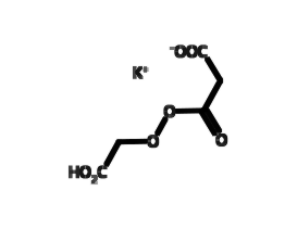 O=C([O-])CC(=O)OOCC(=O)O.[K+]